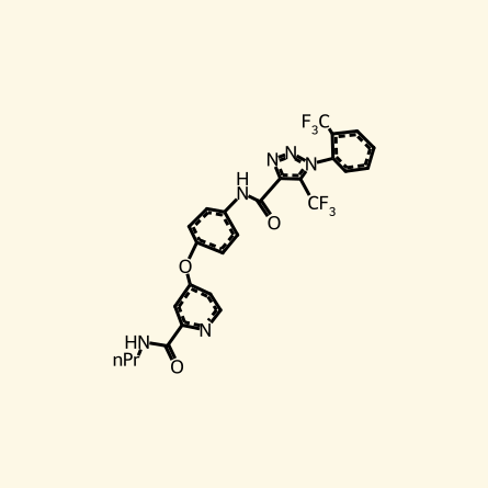 CCCNC(=O)c1cc(Oc2ccc(NC(=O)c3nnn(-c4ccccc4C(F)(F)F)c3C(F)(F)F)cc2)ccn1